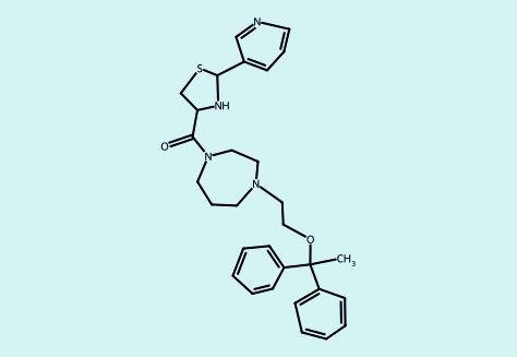 CC(OCCN1CCCN(C(=O)C2CSC(c3cccnc3)N2)CC1)(c1ccccc1)c1ccccc1